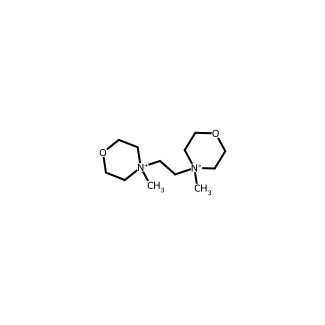 C[N+]1(CC[N+]2(C)CCOCC2)CCOCC1